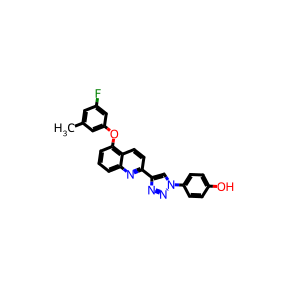 Cc1cc(F)cc(Oc2cccc3nc(-c4cn(-c5ccc(O)cc5)nn4)ccc23)c1